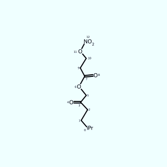 CC(C)CCC(=O)COC(=O)CCO[N+](=O)[O-]